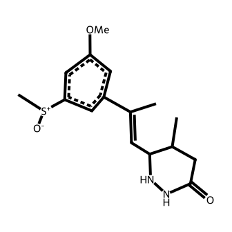 COc1cc(/C(C)=C/C2NNC(=O)CC2C)cc([S+](C)[O-])c1